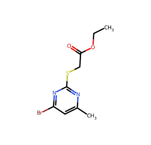 CCOC(=O)CSc1nc(C)cc(Br)n1